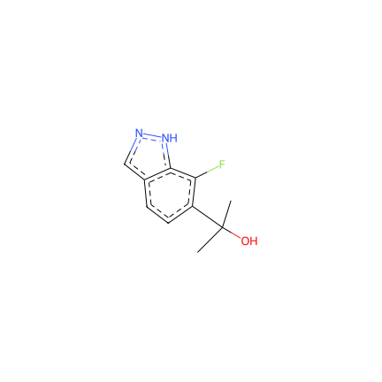 CC(C)(O)c1ccc2cn[nH]c2c1F